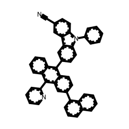 N#Cc1ccc2c(c1)c1cc(-c3c4ccccc4c(-c4ccccn4)c4cc(-c5cccc6ccccc56)ccc34)ccc1n2-c1ccccc1